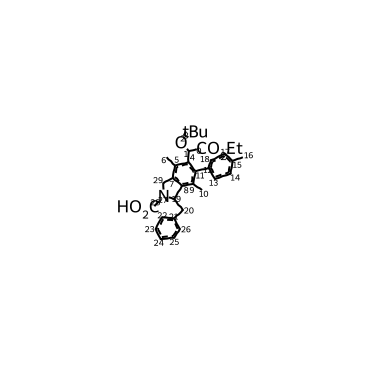 CCOC(=O)C(OC(C)(C)C)c1c(C)c2c(c(C)c1-c1ccc(C)cc1)C(Cc1ccccc1)N(C(=O)O)C2